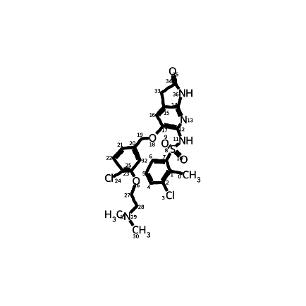 Cc1c(Cl)cccc1S(=O)(=O)Nc1nc2c(cc1OCc1ccc(Cl)c(OCCN(C)C)c1)CC(=O)N2